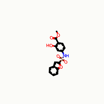 COC(=O)c1ccc(NS(=O)(=O)c2cc3ccccc3o2)cc1O